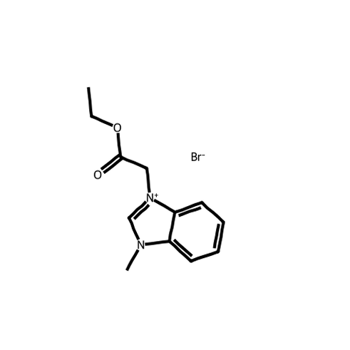 CCOC(=O)C[n+]1cn(C)c2ccccc21.[Br-]